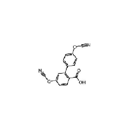 N#COc1ccc(-c2cc(OC#N)ccc2C(=O)O)cc1